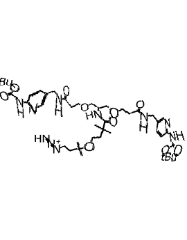 CC(C)(C)OC(=O)Nc1ccc(CNC(=O)CCOCC(COCCC(=O)NCc2ccc(NC(=O)OC(C)(C)C)nc2)NC(=O)C(C)(C)CCOC(C)(C)CCN=[N+]=N)cn1